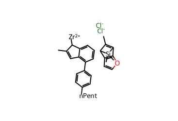 CC1=C2c3occc3C1[Si]2(C)C.CCCCCc1ccc(-c2cccc3c2C=C(C)[CH]3[Zr+2])cc1.[Cl-].[Cl-]